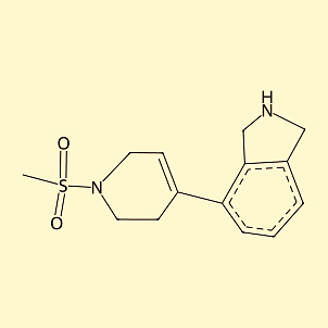 CS(=O)(=O)N1CC=C(c2cccc3c2CNC3)CC1